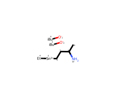 CCC(C)[O-].CCC(C)[O-].C[CH2][Sn+2][CH2]CC(C)N